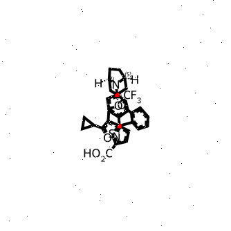 O=C(O)c1ccc(-c2ccc(N3[C@@H]4CC[C@H]3C[C@H](OCc3c(-c5ccccc5OC(F)(F)F)noc3C3CC3)C4)cc2)s1